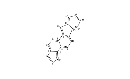 C1=Cc2ccc3c4c(ccc3c2=N1)-c1ccccc1C=4